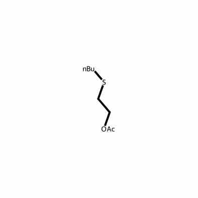 C[CH]CCSCCOC(C)=O